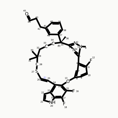 Cn1nc2nc1-c1cc(ccc1F)Oc1c(F)c(F)c3[nH]ccc3c1/C=C/SCC(C)(C)CCC[C@]2(C)c1cccc(CCC=O)c1